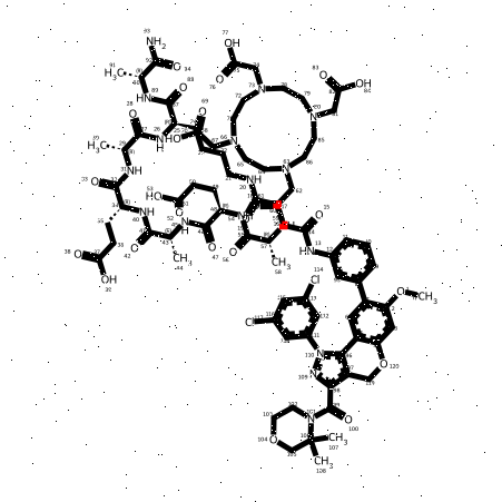 COc1cc2c(cc1-c1cccc(NC(=O)CCC(=O)NCCCC[C@@H](NC(=O)[C@@H](C)NC(=O)[C@@H](CCC(=O)O)NC(=O)[C@@H](C)NC(=O)[C@@H](CCC(=O)O)NC(=O)[C@@H](C)NC(=O)CN3CCN(CC(=O)O)CCN(CC(=O)O)CCN(CC(=O)O)CC3)C(=O)N[C@H](C)C(N)=O)c1)-c1c(c(C(=O)N3CCOCC3(C)C)nn1-c1cc(Cl)cc(Cl)c1)CO2